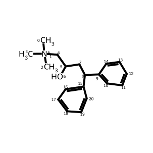 C[N+](C)(C)CC(O)CC(c1ccccc1)c1ccccc1